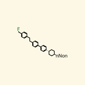 CCCCCCCCC[C@H]1CC[C@H](c2ccc(-c3ccc(CCc4ccc(CF)cc4)cc3)cc2)CC1